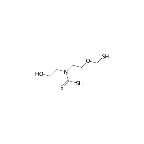 OCCN(CCOCS)C(=S)S